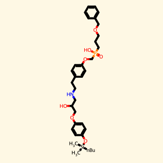 CCCC[Si](C)(C)Oc1ccc(OCC(O)CNCCc2ccc(OCP(=O)(O)CCCOCc3ccccc3)cc2)cc1